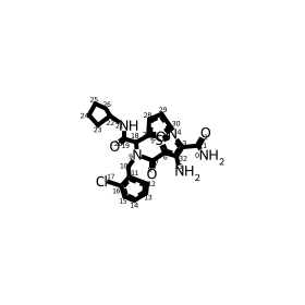 NC(=O)c1nsc(C(=O)N(Cc2ccccc2Cl)C(C(=O)NC2CCCC2)c2ccco2)c1N